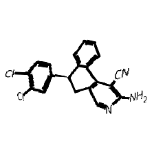 N#Cc1c(N)ncc2c1-c1ccccc1[C@H](c1ccc(Cl)c(Cl)c1)C2